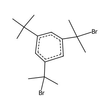 CC(C)(C)c1cc(C(C)(C)Br)cc(C(C)(C)Br)c1